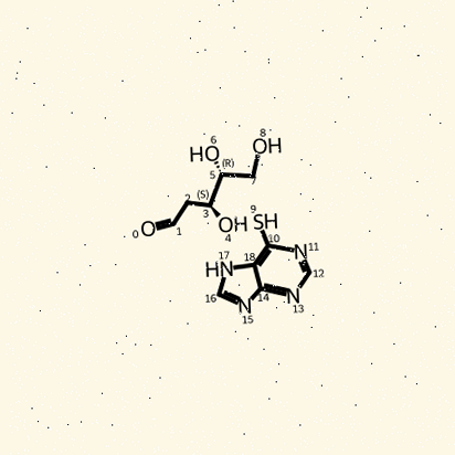 O=CC[C@H](O)[C@H](O)CO.Sc1ncnc2nc[nH]c12